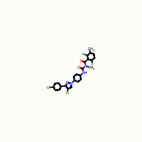 Cc1ccc(F)c(C(=O)N(C)C(=O)Nc2ccc(-n3cc(Cl)c(-c4ccc(Cl)cc4)n3)cc2)c1F